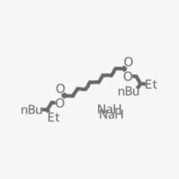 CCCCC(CC)COC(=O)CCCCCCCCC(=O)OCC(CC)CCCC.[NaH].[NaH]